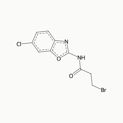 O=C(CCBr)Nc1nc2ccc(Cl)cc2o1